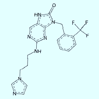 O=c1[nH]c2cnc(NCCCn3ccnc3)nc2n1Cc1ccccc1C(F)(F)F